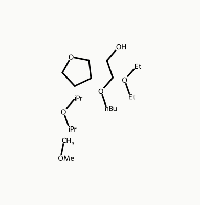 C1CCOC1.CC(C)OC(C)C.CCCCOCCO.CCOCC.COC